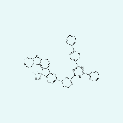 CC1(C)c2ccc(-c3cccc(-c4nc(-c5ccccc5)nc(-c5ccc(-c6ccccc6)cc5)n4)c3)cc2-c2ccc3oc4ccccc4c3c21